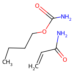 C=CC(N)=O.CCCCOC(N)=O